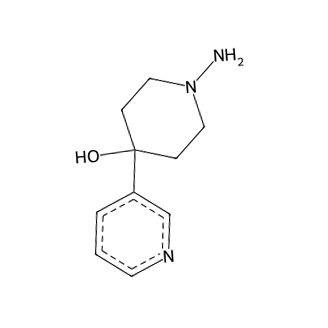 NN1CCC(O)(c2cccnc2)CC1